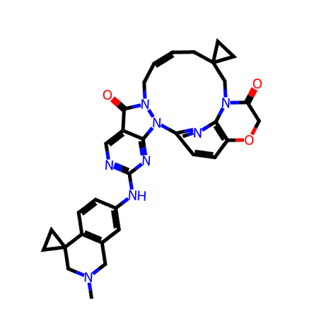 CN1Cc2cc(Nc3ncc4c(=O)n5n(c4n3)-c3ccc4c(n3)N(CC3(C/C=C\C5)CC3)C(=O)CO4)ccc2C2(CC2)C1